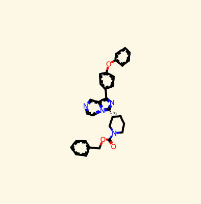 O=C(OCc1ccccc1)N1CCC[C@@H](c2nc(-c3ccc(Oc4ccccc4)cc3)c3cnccn23)C1